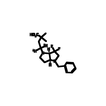 [2H]C([2H])(CC(C)(C)C(=O)O)N1CC[C@H]2[C@@H]1C(F)(F)CN2Cc1ccccc1